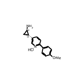 COc1ccc(-c2ccc([C@@H]3C[C@H]3N)cn2)cc1.Cl